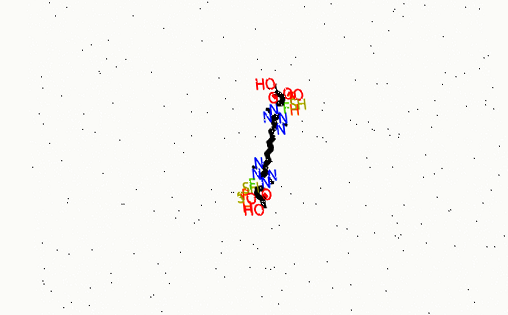 O=[PH](S)O[C@@H]1[C@@H](CO)OC(n2cnc3c(CC/C=C/CCc4ncnc5c4ncn5C4OC(CO)[C@@H](O[PH](=S)S)[C@H]4F)ncnc32)[C@@H]1F